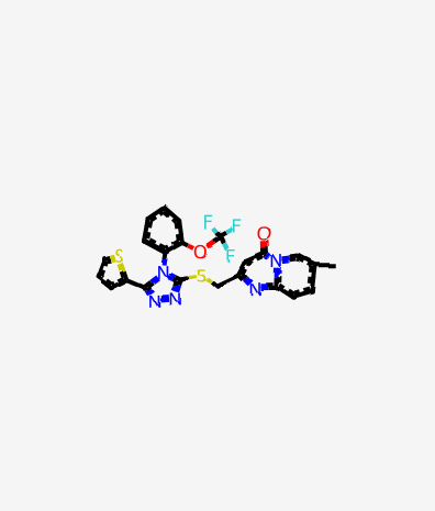 Cc1ccc2nc(CSc3nnc(-c4cccs4)n3-c3ccccc3OC(F)(F)F)cc(=O)n2c1